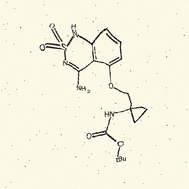 CC(C)(C)OC(=O)NC1(COc2cccc3c2C(N)=NS(=O)(=O)N3)CC1